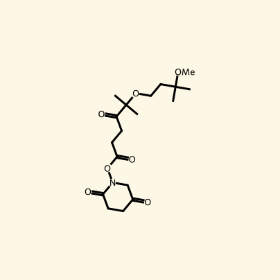 COC(C)(C)CCOC(C)(C)C(=O)CCC(=O)ON1CC(=O)CCC1=O